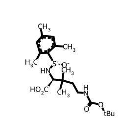 Cc1cc(C)c([S@+]([O-])N[C@H](C(=O)O)C(C)(C)CCNC(=O)OC(C)(C)C)c(C)c1